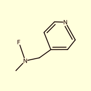 CN(F)Cc1ccncc1